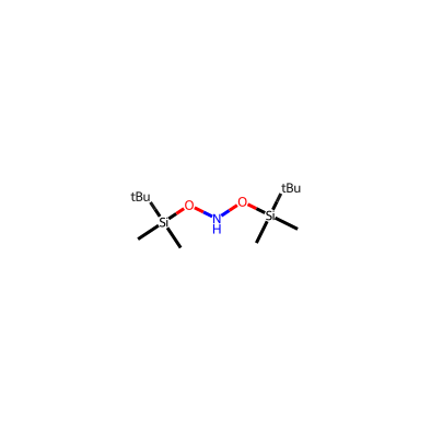 CC(C)(C)[Si](C)(C)ONO[Si](C)(C)C(C)(C)C